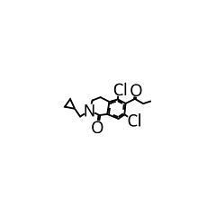 CCC(=O)c1c(Cl)cc2c(c1Cl)CCN(CC1CC1)C2=O